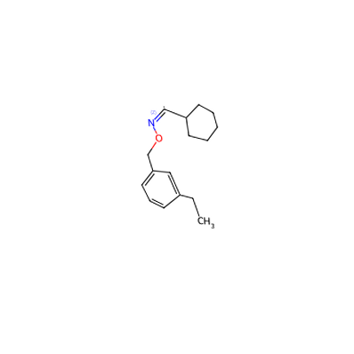 CCc1cccc(CO/N=[C]\C2CCCCC2)c1